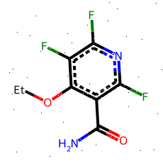 CCOc1c(F)c(F)nc(F)c1C(N)=O